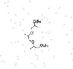 COCC(C)OCC(C)OCC(C)OCC(C)C